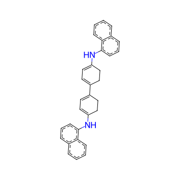 C1=C(Nc2cccc3ccccc23)CCC(C2=CC=C(Nc3cccc4ccccc34)CC2)=C1